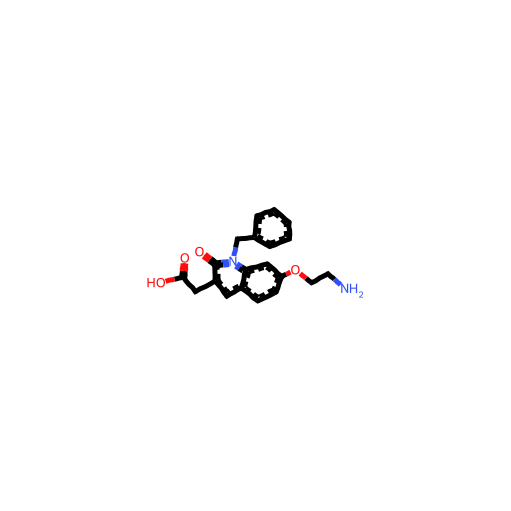 NCCOc1ccc2cc(CC(=O)O)c(=O)n(Cc3ccccc3)c2c1